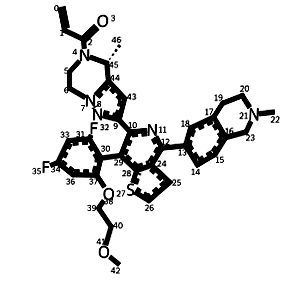 C=CC(=O)N1CCn2nc(-c3nc(-c4ccc5c(c4)CCN(C)C5)c4ccsc4c3-c3c(F)cc(F)cc3OCCOC)cc2[C@H]1C